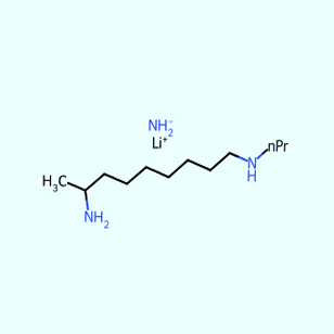 CCCNCCCCCCCC(C)N.[Li+].[NH2-]